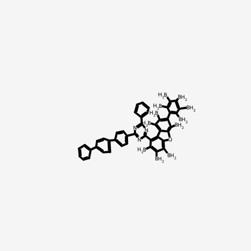 Bc1c(B)c(B)c(-c2c(B)c(B)c3c(oc4c(B)c(B)c(B)c(-c5nc(-c6ccccc6)nc(-c6ccc(-c7ccc(-c8ccccc8)cc7)cc6)n5)c43)c2B)c(B)c1B